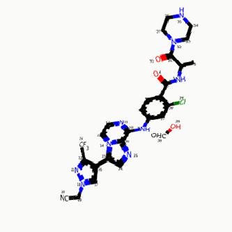 CC(NC(=O)c1ccc(Nc2nccn3c(-c4cn(CC#N)nc4C(F)(F)F)cnc23)cc1Cl)C(=O)N1CCNCC1.O=CO